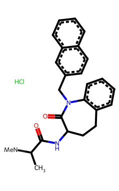 CNC(C)C(=O)NC1CCc2ccccc2N(Cc2ccc3ccccc3c2)C1=O.Cl